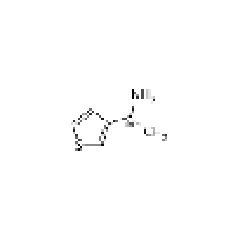 C[C@@H](N)c1ccsc1